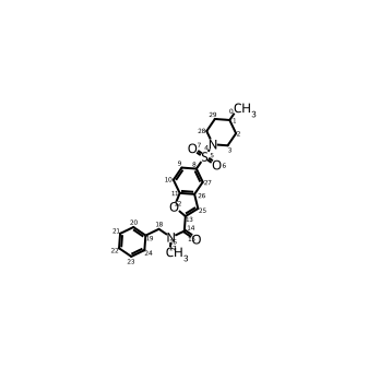 CC1CCN(S(=O)(=O)c2ccc3oc(C(=O)N(C)Cc4ccccc4)cc3c2)CC1